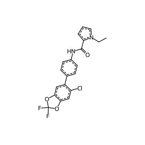 CCn1cccc1C(=O)Nc1ccc(-c2cc3c(cc2Cl)OC(F)(F)O3)cc1